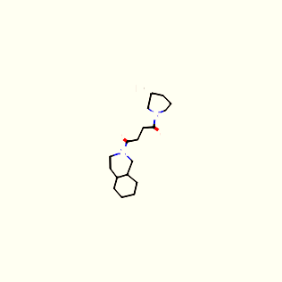 CC1CCCN(C(=O)CCC(=O)N2CCC3CCCCC3C2)C1